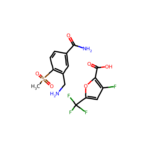 CS(=O)(=O)c1ccc(C(N)=O)cc1CN.O=C(O)c1oc(C(F)(F)F)cc1F